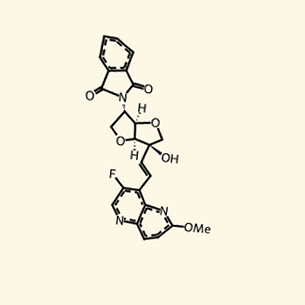 COc1ccc2ncc(F)c(/C=C/[C@@]3(O)CO[C@@H]4[C@@H](N5C(=O)c6ccccc6C5=O)CO[C@@H]43)c2n1